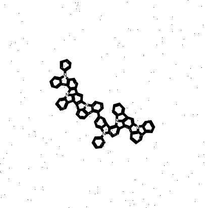 c1ccc(-n2c3ccc(-c4cccc5c4c4cccc6c7c8c9ccccc9n9c8c(cc7n5c46)c4ccc5c(c6ccccc6n5-c5ccccc5)c49)cc3c3c2ccc2c4c5c6cccc7c8ccccc8n(c5cc5c8ccccc8n(c54)c23)c76)cc1